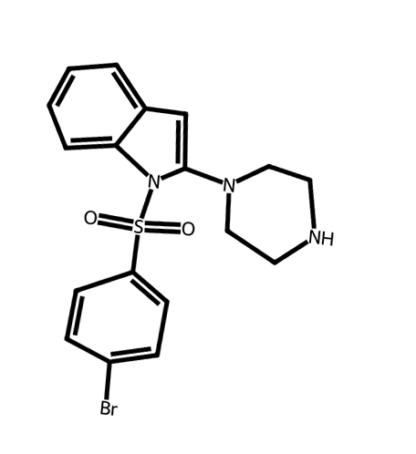 O=S(=O)(c1ccc(Br)cc1)n1c(N2CCNCC2)cc2ccccc21